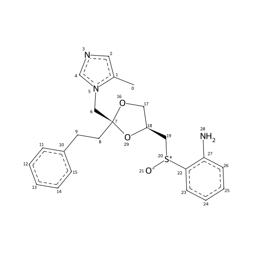 Cc1cncn1C[C@@]1(CCc2ccccc2)OC[C@@H](C[S+]([O-])c2ccccc2N)O1